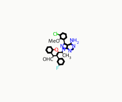 COc1c(Cl)cccc1-c1nn(C(C)C2=C(c3cccc(F)c3)C(C=O)c3ccccc3O2)c2ncnc(N)c12